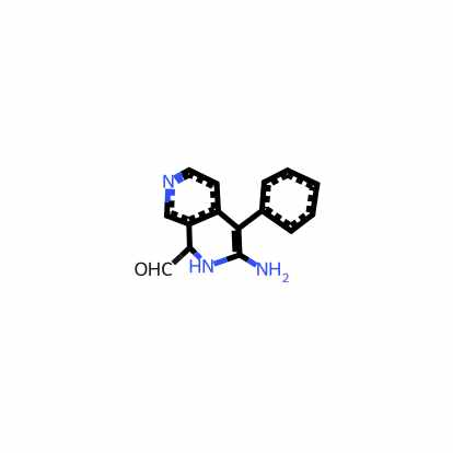 NC1=C(c2ccccc2)c2ccncc2C(C=O)N1